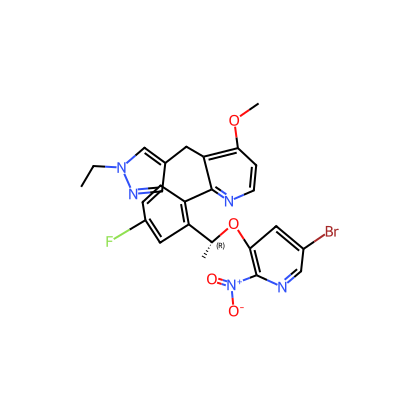 CCn1cc(Cc2c(OC)ccnc2-c2ccc(F)cc2[C@@H](C)Oc2cc(Br)cnc2[N+](=O)[O-])cn1